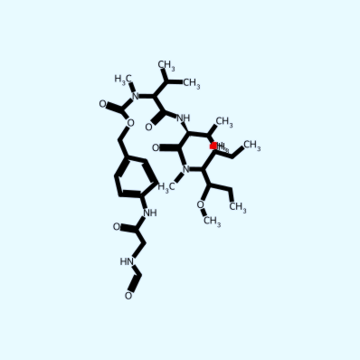 CCC(C)C(C(CC)OC)N(C)C(=O)[C@@H](NC(=O)C(C(C)C)N(C)C(=O)OCc1ccc(NC(=O)CNC=O)cc1)C(C)C